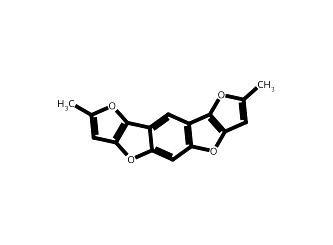 Cc1cc2oc3cc4oc5cc(C)oc5c4cc3c2o1